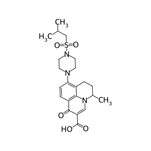 CC(C)CS(=O)(=O)N1CCN(c2ccc3c(=O)c(C(=O)O)cn4c3c2CCC4C)CC1